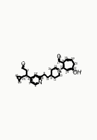 O=CCC(c1ccnc(CCC2CCN(C3=C(C=O)C=CCC(O)=C3)CC2)c1)C1CC1